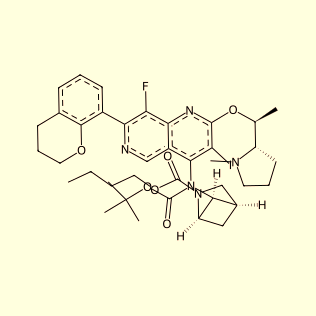 CCCCOC(=O)N1C[C@H]2C[C@@H]1[C@H]2N(C(=O)OC(C)(C)C)c1c(I)c(O[C@@H](C)[C@@H]2CCCN2C)nc2c(F)c(-c3cccc4c3OCCC4)ncc12